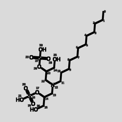 CCCCCCCCCCCCN(CC(CO)OS(=O)(=O)O)CC(CO)OS(=O)(=O)O